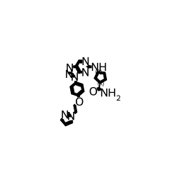 NC(=O)[C@@H]1CC[C@@H](Nc2ncc3nnn(-c4ccc(OCCn5cccn5)cc4)c3n2)C1